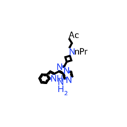 CCCN(CCCC(C)=O)C1CC(c2nc(-c3cc4ccccc4[nH]3)c3c(N)nccn23)C1